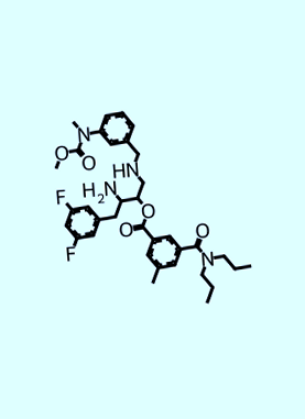 CCCN(CCC)C(=O)c1cc(C)cc(C(=O)OC(CNCc2cccc(N(C)C(=O)OC)c2)C(N)Cc2cc(F)cc(F)c2)c1